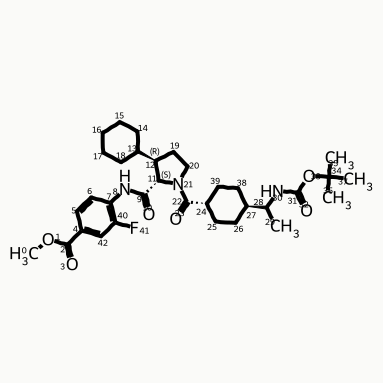 COC(=O)c1ccc(NC(=O)[C@@H]2[C@@H](C3CCCCC3)CCN2C(=O)[C@H]2CC[C@H](C(C)NC(=O)OC(C)(C)C)CC2)c(F)c1